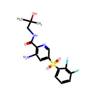 CC(C)(O)CNC(=O)c1ncc(S(=O)(=O)c2cccc(F)c2F)cc1N